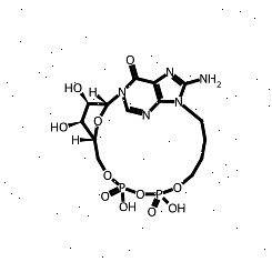 Nc1nc2c(=O)n3cnc2n1CCCCOP(=O)(O)OP(=O)(O)OC[C@H]1O[C@@H]3[C@H](O)[C@@H]1O